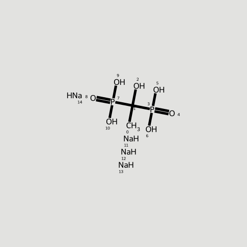 CC(O)(P(=O)(O)O)P(=O)(O)O.[NaH].[NaH].[NaH].[NaH]